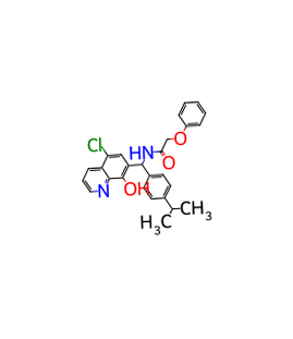 CC(C)c1ccc(C(NC(=O)COc2ccccc2)c2cc(Cl)c3cccnc3c2O)cc1